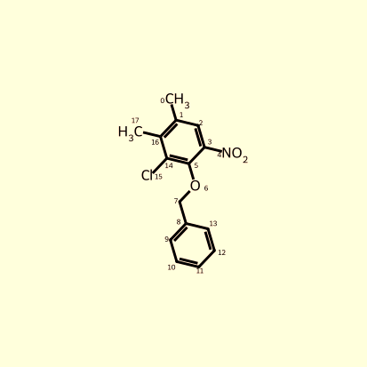 Cc1cc([N+](=O)[O-])c(OCc2ccccc2)c(Cl)c1C